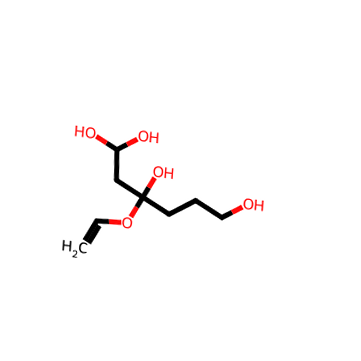 C=COC(O)(CCCO)CC(O)O